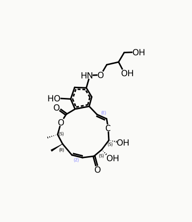 C[C@@H]1/C=C\C(=O)[C@@H](O)[C@@H](O)C/C=C/c2cc(NOCC(O)CO)cc(O)c2C(=O)O[C@H]1C